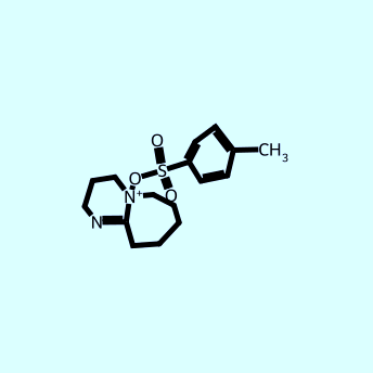 Cc1ccc(S(=O)(=O)O[N+]23CCCCCC2=NCCC3)cc1